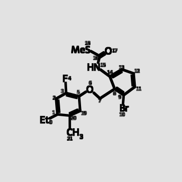 CCc1cc(F)c(OCc2c(Br)cccc2NC(=O)SC)cc1C